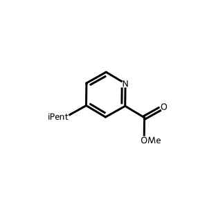 CCCC(C)c1ccnc(C(=O)OC)c1